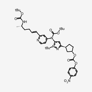 C[C@@H](CC/C=C/c1cc(N(C(=O)OC(C)(C)C)c2cc([C@H]3CC[C@@H](OC(=O)Oc4ccc([N+](=O)[O-])cc4)C3)nn2C(C)(C)C)ccn1)NC(=O)OC(C)(C)C